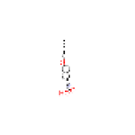 CCCCCCCOc1ccc2cc(/C=C/C(=O)O)ccc2c1